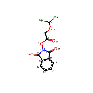 O=C(COC(F)F)ON1C(=O)c2ccccc2C1=O